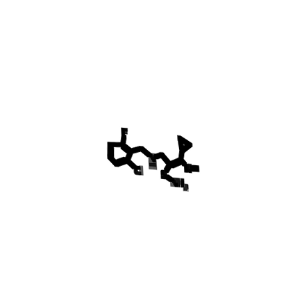 C=N/C(=C(/CNCc1c(F)cccc1Cl)SN)C1CC1